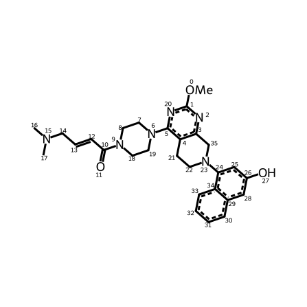 COc1nc2c(c(N3CCN(C(=O)/C=C/CN(C)C)CC3)n1)CCN(c1cc(O)cc3ccccc13)C2